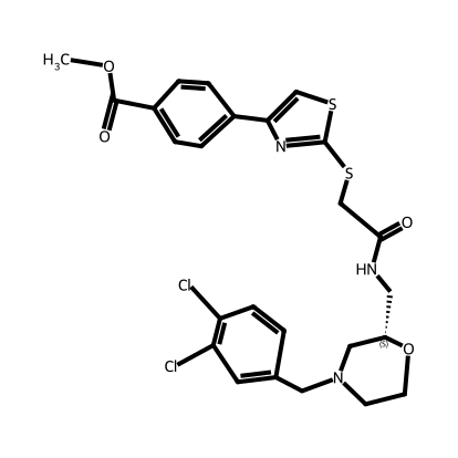 COC(=O)c1ccc(-c2csc(SCC(=O)NC[C@H]3CN(Cc4ccc(Cl)c(Cl)c4)CCO3)n2)cc1